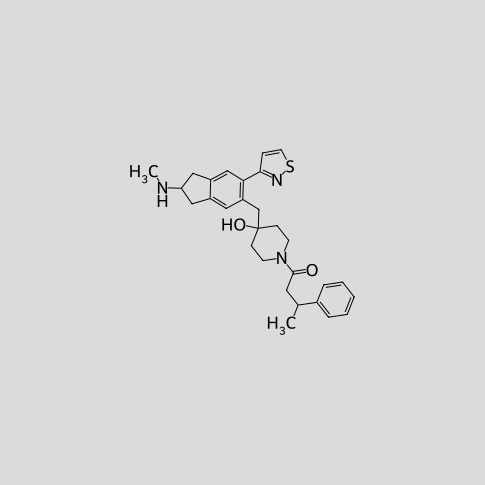 CNC1Cc2cc(CC3(O)CCN(C(=O)CC(C)c4ccccc4)CC3)c(-c3ccsn3)cc2C1